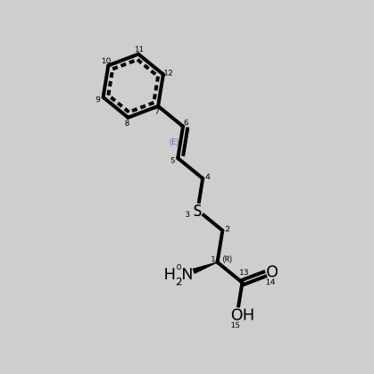 N[C@@H](CSC/C=C/c1ccccc1)C(=O)O